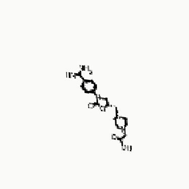 N=C(N)c1ccc(N2C[C@H](CN3CCN(CC(=O)O)CC3)OC2=O)cc1